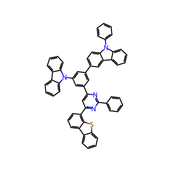 c1ccc(-c2nc(-c3cc(-c4ccc5c(c4)c4ccccc4n5-c4ccccc4)cc(-n4c5ccccc5c5ccccc54)c3)cc(-c3cccc4c3sc3ccccc34)n2)cc1